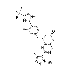 Cc1cnn(C(C)C)c1-c1ncc2c(n1)N(Cc1ccc(-c3nc(C(C)(F)F)cn3C)c(F)c1)CC(=O)N2C